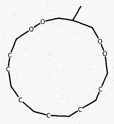 CC1COOCCCCCCCCCCCCOOC1